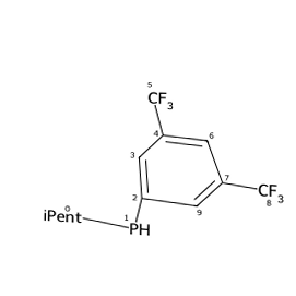 CCCC(C)Pc1cc(C(F)(F)F)cc(C(F)(F)F)c1